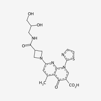 Cc1cc(N2CC(C(=O)NCC(O)CO)C2)nc2c1c(=O)c(C(=O)O)cn2-c1nccs1